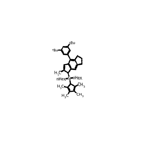 CCCCCC[Si](CCCCCC)(C1C(C)=C(C)C(C)=C1C)C1C(C)=Cc2c1cc1c(c2-c2cc(C(C)(C)C)cc(C(C)(C)C)c2)CCC1